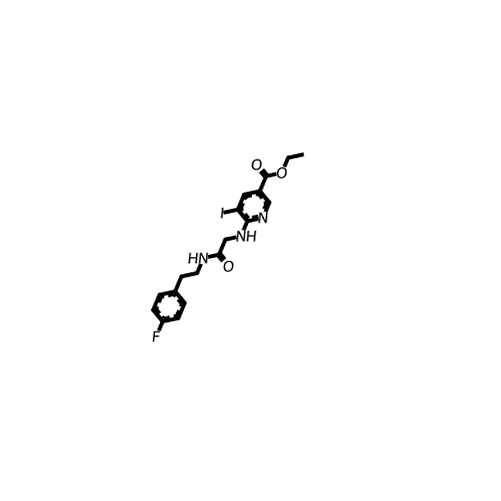 CCOC(=O)c1cnc(NCC(=O)NCCc2ccc(F)cc2)c(I)c1